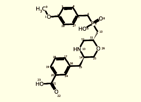 COc1ccc(CP(=O)(O)C[C@H]2CN[C@H](Cc3cccc(C(=O)O)c3)CO2)cc1